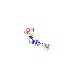 O=C(O)CSc1nc(CCNc2ncc(-c3ccc(OC(F)(F)F)cc3)cn2)cs1